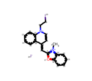 C[n+]1c(C=C2C=CN(CCI)c3ccccc32)oc2ccccc21.[I-]